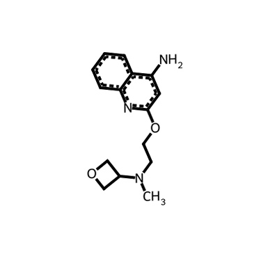 CN(CCOc1cc(N)c2ccccc2n1)C1COC1